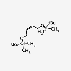 CC(C)(C)[Si](C)(C)OC/C=C\CO[Si](C)(C)C(C)(C)C